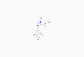 c1ccc(-c2nc(-c3cccc(-c4ccc5c(c4)-c4ccccc4C54c5ccccc5-c5ccccc54)c3)nc(-c3cccc4c3sc3ccccc34)n2)cc1